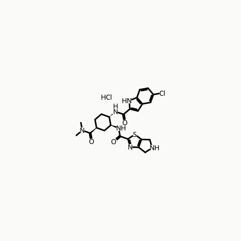 CN(C)C(=O)[C@H]1CC[C@H](NC(=O)c2cc3cc(Cl)ccc3[nH]2)[C@@H](NC(=O)c2nc3c(s2)CNC3)C1.Cl